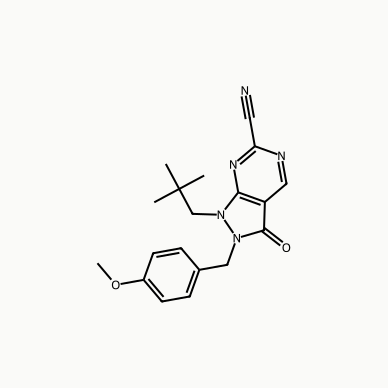 COc1ccc(Cn2c(=O)c3cnc(C#N)nc3n2CC(C)(C)C)cc1